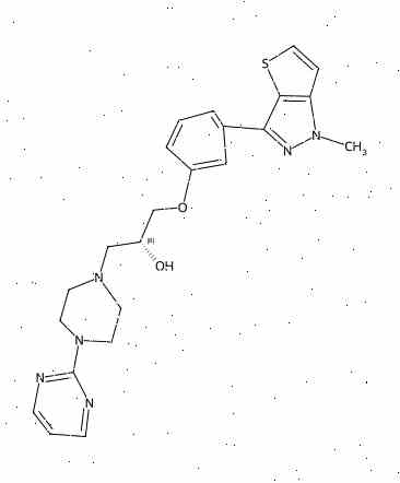 Cn1nc(-c2cccc(OC[C@H](O)CN3CCN(c4ncccn4)CC3)c2)c2sccc21